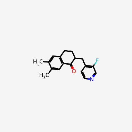 Cc1cc2c(cc1C)C(=O)C(Cc1ccncc1F)CC2